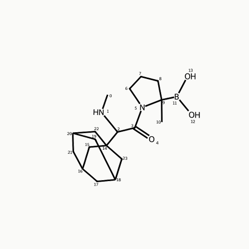 CNC(C(=O)N1CCCC1(C)B(O)O)C12CC3CC(CC(C3)C1)C2